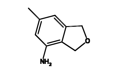 Cc1cc(N)c2c(c1)COC2